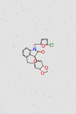 O=C1N(Cc2ccc(Cl)o2)c2cccc3c2C1(C1=CC2OCOC2C=C1)OCC3